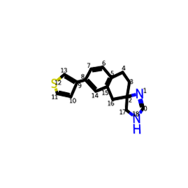 C1=NC2(CCc3ccc(-c4ccsc4)cc3C2)CN1